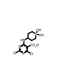 CCc1nc(Cl)nc(NC2CCS(O)(O)CC2)c1C(=O)O